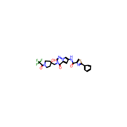 O=C(Nc1cc2c(=O)n(CC3(O)CCN(C(=O)C(F)(F)F)CC3)cnn2c1)c1csc(-c2ccccc2)n1